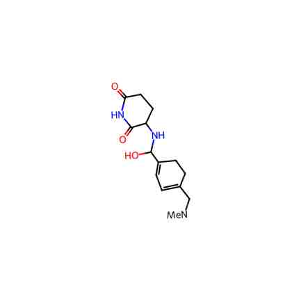 CNCC1=CC=C(C(O)NC2CCC(=O)NC2=O)CC1